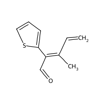 C=C/C(C)=C(/C=O)c1cccs1